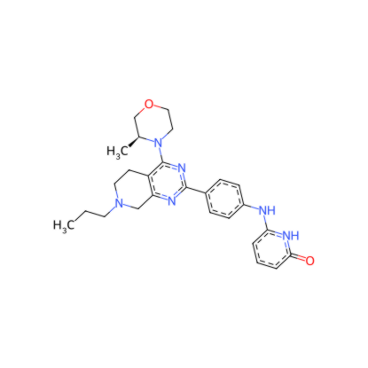 CCCN1CCc2c(nc(-c3ccc(Nc4cccc(=O)[nH]4)cc3)nc2N2CCOC[C@@H]2C)C1